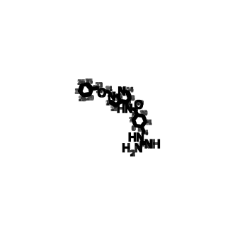 N=C(N)NCC1CCC(C(=O)Nc2ccnc3c2ccn3COCc2ccccc2)CC1